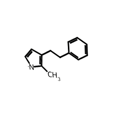 CC1=C(CCc2ccccc2)C=C[N]1